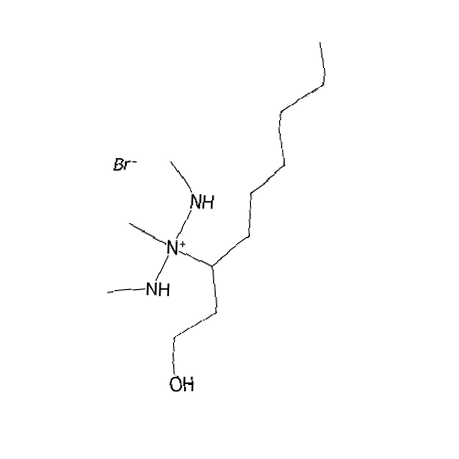 CCCCCCC(CCO)[N+](C)(NC)NC.[Br-]